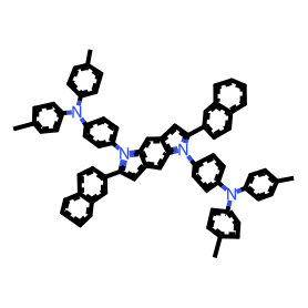 Cc1ccc(N(c2ccc(C)cc2)c2ccc(-n3c(-c4ccc5ccccc5c4)cc4cc5c(cc(-c6ccc7ccccc7c6)n5-c5ccc(N(c6ccc(C)cc6)c6ccc(C)cc6)cc5)cc43)cc2)cc1